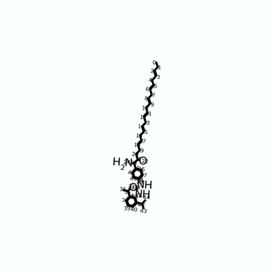 CCC=CCC=CCC=CCC=CCC=CCC=CCCC(=O)C(N)c1ccc(NC(=O)Nc2c(C(C)C)cccc2C(C)C)cc1